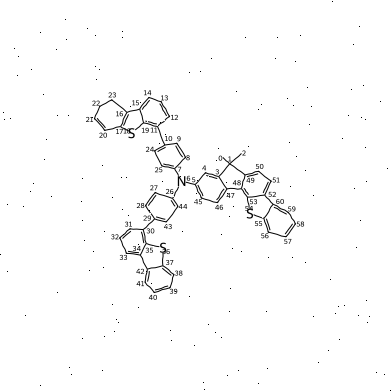 CC1(C)c2cc(N(c3ccc(-c4cccc5c6c(sc45)C=CCC6)cc3)c3ccc(-c4cccc5c4sc4ccccc45)cc3)ccc2-c2c1ccc1c2sc2ccccc21